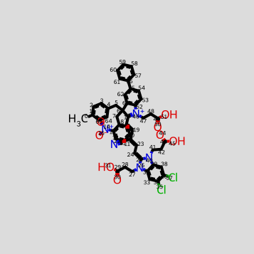 Cc1ccc(CC2(Cc3ccccc3[N+](=O)[O-])C(/C=C/C(C#N)=C/C=C3N(CCC(=O)O)c4cc(Cl)c(Cl)cc4N3CCC(=O)O)=[N+](CCC(=O)O)c3ccc(-c4ccccc4)cc32)cc1